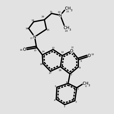 Cc1ccccc1-c1cc(=O)oc2cc(C(=O)N3CCC(CN(C)C)C3)ccc12